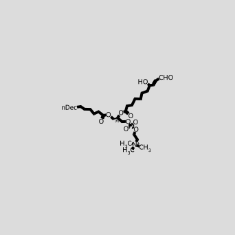 CCCCCCCCCCCCCCCC(=O)OC[C@H](COP(=O)([O-])OCC[N+](C)(C)C)OC(=O)CCCCCCC(O)C=CC=O